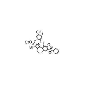 CCOC(=O)c1c(Br)c2c(n1Cc1ccc(C)cc1)-c1[nH]c(=O)c(S(=O)(=O)c3ccccc3)cc1CCC2